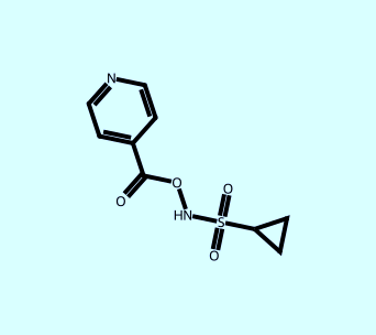 O=C(ONS(=O)(=O)C1CC1)c1ccncc1